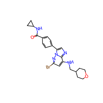 O=C(NC1CC1)c1ccc(-c2cnc3c(NCC4CCOCC4)cc(Br)nn23)cc1